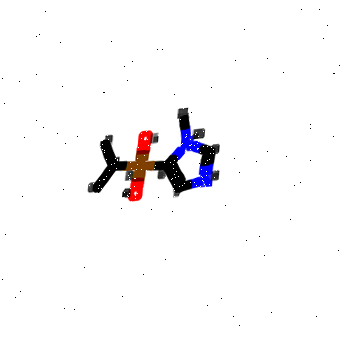 CC(C)S(=O)(=O)c1cncn1C